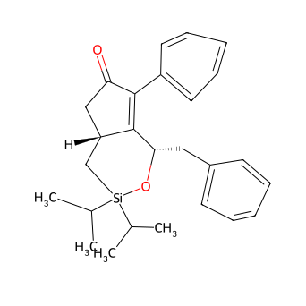 CC(C)[Si]1(C(C)C)C[C@@H]2CC(=O)C(c3ccccc3)=C2[C@H](Cc2ccccc2)O1